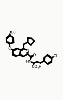 CC(C)(C)c1ccc(Oc2ccc3cc(C(=O)NC(CCc4ccc(Cl)cc4)C(=O)O)nc(CC4CCCC4)c3c2)cc1